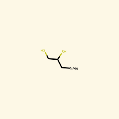 CNCC(S)CS